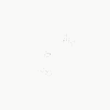 Cc1ccc2oc(=O)n(CCCCc3nnc(CCCCC[C@@H]4SC[C@@H]5NC(=O)N[C@@H]54)o3)c2c1